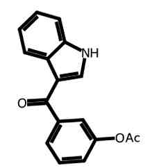 CC(=O)Oc1cccc(C(=O)c2c[nH]c3ccccc23)c1